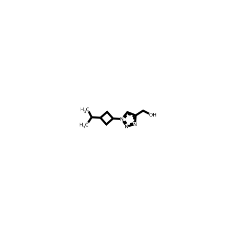 CC(C)C1CC(n2cc(CO)nn2)C1